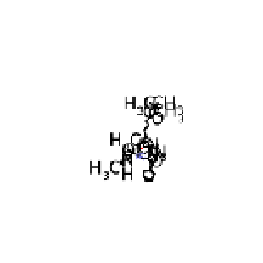 CCCNC(=O)/C(C)=C/c1c(-c2ccccc2)oc2ncnc(O[C@H](C)CCCCC(=O)OC(C)(C)C)c12